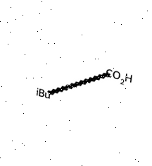 CCC(C)CCCCCCCCCCCCCCCCCCCCCCCCCCC(=O)O